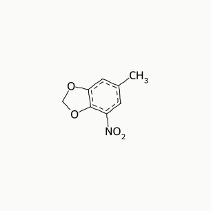 Cc1cc2c(c([N+](=O)[O-])c1)OCO2